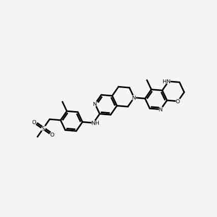 Cc1cc(Nc2cc3c(cn2)CCN(c2cnc4c(c2C)NCCO4)C3)ccc1CS(C)(=O)=O